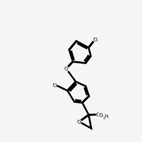 O=C(O)C1(c2ccc(Oc3ccc(Cl)cc3)c(Cl)c2)CO1